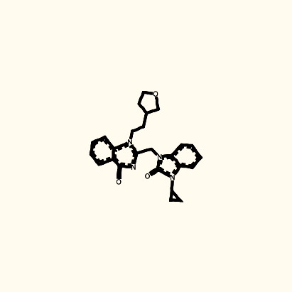 O=c1nc(Cn2c(=O)n(C3CC3)c3ccccc32)n(CCC2CCOC2)c2ccccc12